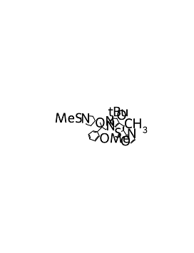 COc1ccccc1C(Cn1nc(C(C)(C)C)c(=O)c2c(C)c(-c3ncco3)sc21)OC1CCN(SC)CC1